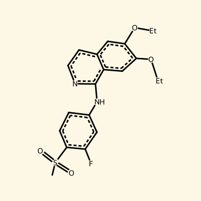 CCOc1cc2ccnc(Nc3ccc(S(C)(=O)=O)c(F)c3)c2cc1OCC